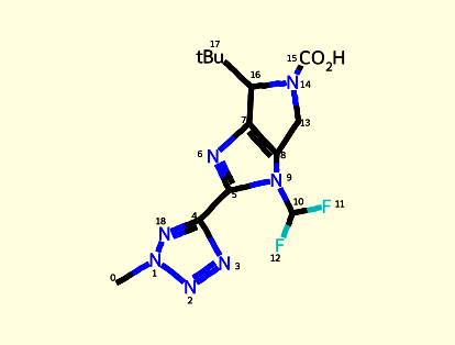 Cn1nnc(-c2nc3c(n2C(F)F)CN(C(=O)O)C3C(C)(C)C)n1